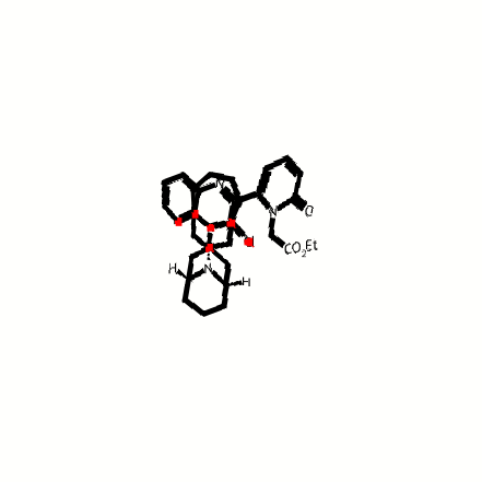 CCOC(=O)Cn1c(-c2nc3ccccc3n(C3C[C@H]4CCC[C@@H](C3)N4[C@H]3C[C@@H]4CCCC[C@@H](C4)C3)c2=O)cccc1=O